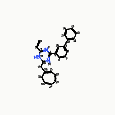 C=CC1=NC(c2cccc(-c3ccccc3)c2)=NC(CC2=CC=CC=CC2)N1